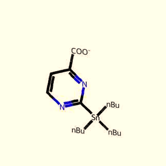 CCC[CH2][Sn]([CH2]CCC)([CH2]CCC)[c]1nccc(C(=O)[O-])n1